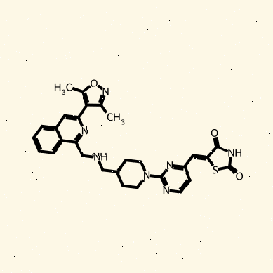 Cc1noc(C)c1-c1cc2ccccc2c(CNCC2CCN(c3nccc(/C=C4\SC(=O)NC4=O)n3)CC2)n1